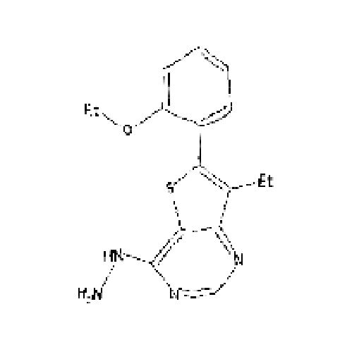 CCOc1ccccc1-c1sc2c(NN)ncnc2c1CC